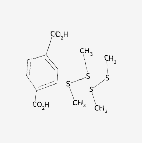 CSSC.CSSC.O=C(O)c1ccc(C(=O)O)cc1